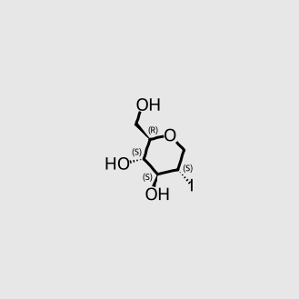 OC[C@H]1OC[C@H](I)[C@@H](O)[C@@H]1O